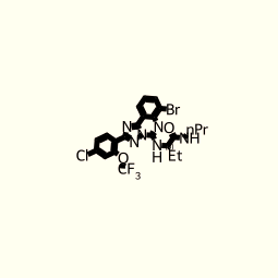 CCCNC(=O)[C@H](CC)Nc1nc2c(Br)cccc2c2nc(-c3ccc(Cl)cc3OC(F)(F)F)nn12